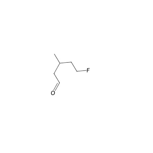 CC(CC=O)CCF